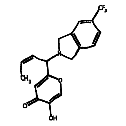 C/C=C\C(c1cc(=O)c(O)co1)N1Cc2ccc(C(F)(F)F)cc2C1